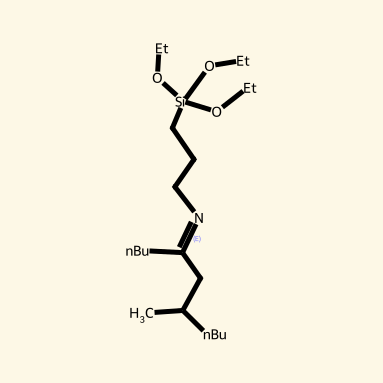 CCCC/C(CC(C)CCCC)=N\CCC[Si](OCC)(OCC)OCC